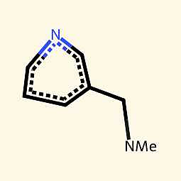 [CH2-][NH2+]Cc1cccnc1